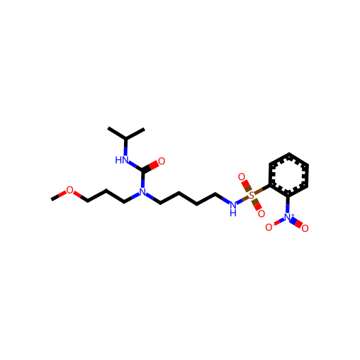 COC[CH]CN(CCCCNS(=O)(=O)c1ccccc1[N+](=O)[O-])C(=O)NC(C)C